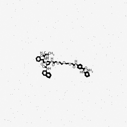 CN[C@@H](C)C(=O)N[C@H](C(=O)N1C[C@@H](NC(=O)COCCOCCOCC(=O)Nc2ccc(C(=O)Nc3ccccc3N)cc2)C[C@H]1C(=O)N[C@@H]1CCCc2ccccc21)C1CCCCC1